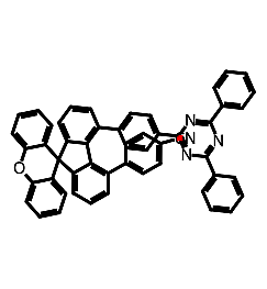 N#Cc1ccc(-c2cccc3c2-c2c(-c4ccc(-c5nc(-c6ccccc6)nc(-c6ccccc6)n5)cc4)cccc2C32c3ccccc3Oc3ccccc32)cc1